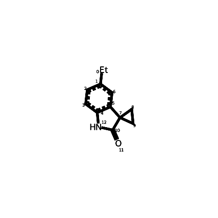 CCc1ccc2c(c1)C1(CC1)C(=O)N2